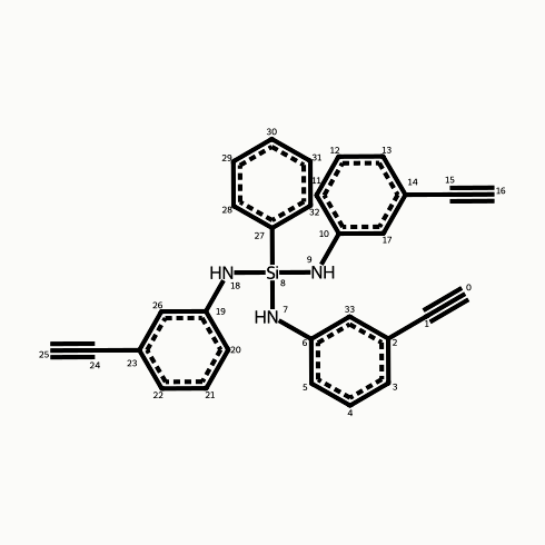 C#Cc1cccc(N[Si](Nc2cccc(C#C)c2)(Nc2cccc(C#C)c2)c2ccccc2)c1